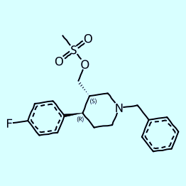 CS(=O)(=O)OC[C@@H]1CN(Cc2ccccc2)CC[C@H]1c1ccc(F)cc1